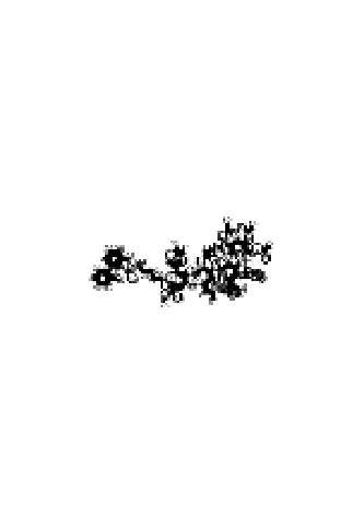 CC[C@H](C)C1O[C@H](O[C@H]2C([C@H]3COC(C)(C)O3)O[C@@](OCCCCCN(Cc3ccccc3)C(=O)OCc3ccccc3)(C(=O)OC)C[C@H]2C)C(OC(C)=O)[C@@H](O[C@H]2O[C@@H]([C@@H](C)CC)[C@@H](PBB=O)C(C)C2O[C@H]2OC(COC(C)=O)[C@@H](OC(C)=O)C(OC(C)=O)[C@H]2N=[N+]=[N-])[C@@H]1PBB=O